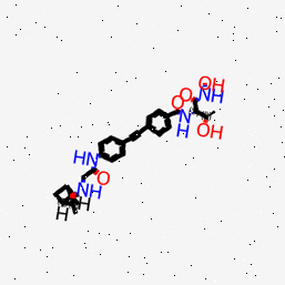 C[C@@H]1C(NCC(=O)Nc2ccc(C#Cc3ccc(C(=O)N[C@H](C(=O)NO)[C@@H](C)O)cc3)cc2)C2C[C@@H]1C2(C)C